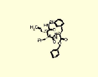 C=CC[C@H](C(=O)NO)[C@@H](CC(C)C)C(=O)N[C@@H](Cc1ccccc1)C(=O)OCc1ccccc1